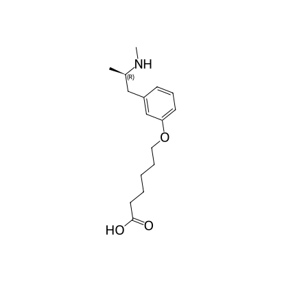 CN[C@H](C)Cc1cccc(OCCCCCC(=O)O)c1